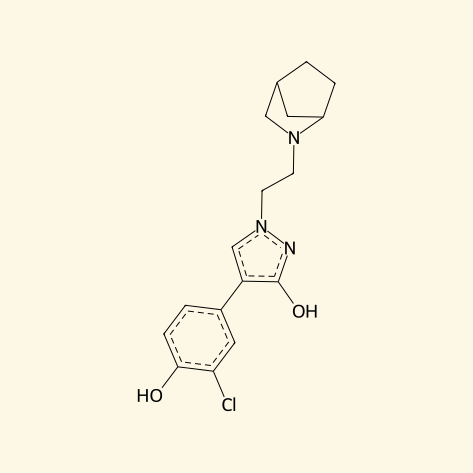 Oc1ccc(-c2cn(CCN3CC4CCC3C4)nc2O)cc1Cl